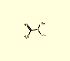 CCCCN(CCCC)C(=N)N